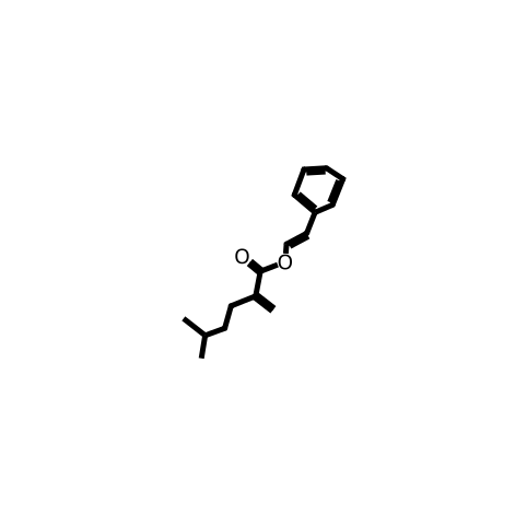 C=C(CCC(C)C)C(=O)OC=Cc1ccccc1